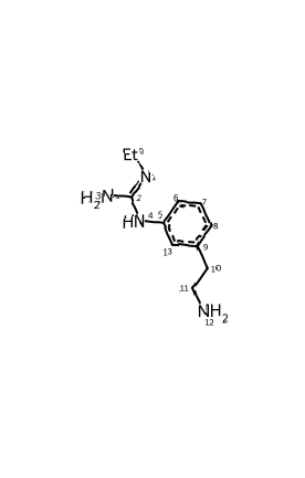 CCN=C(N)Nc1cccc(CCN)c1